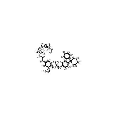 CC[Si](C)(C)O[Si](C)(C)O[Si](C)(C)CCCc1ccc(OC(=O)Oc2ccc(C3(c4ccccc4)CCCCC3)cc2)c(OC)c1